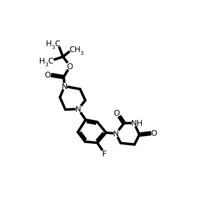 CC(C)(C)OC(=O)N1CCN(c2ccc(F)c(N3CCC(=O)NC3=O)c2)CC1